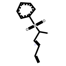 [CH2]C(/C=C/C=C)S(=O)(=O)c1ccccc1